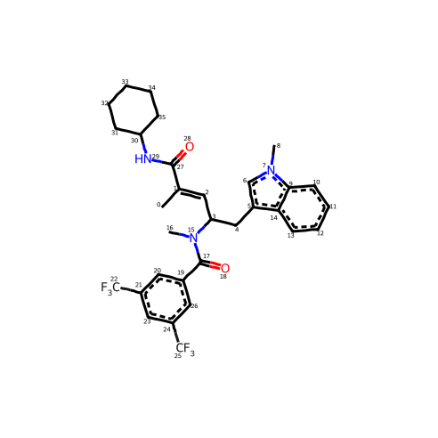 CC(=CC(Cc1cn(C)c2ccccc12)N(C)C(=O)c1cc(C(F)(F)F)cc(C(F)(F)F)c1)C(=O)NC1CCCCC1